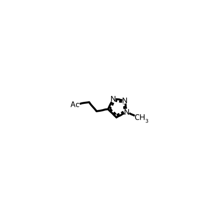 CC(=O)CCc1cn(C)nn1